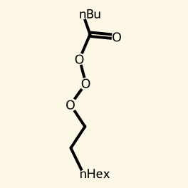 CCCCCCCCOOOC(=O)CCCC